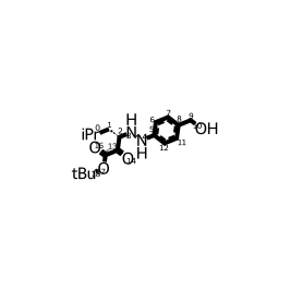 CC(C)C[C@H](NNc1ccc(CO)cc1)C(=O)C(=O)OC(C)(C)C